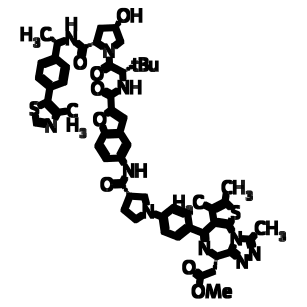 COC(=O)C[C@@H]1N=C(c2ccc(N3CC[C@H](C(=O)Nc4ccc5oc(C(=O)N[C@H](C(=O)N6C[C@H](O)C[C@H]6C(=O)N[C@@H](C)c6ccc(-c7scnc7C)cc6)C(C)(C)C)cc5c4)C3)cc2)c2c(sc(C)c2C)-n2c(C)nnc21